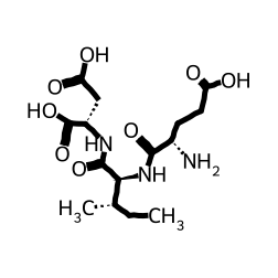 CC[C@H](C)[C@H](NC(=O)[C@@H](N)CCC(=O)O)C(=O)N[C@@H](CC(=O)O)C(=O)O